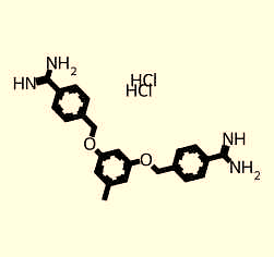 Cc1cc(OCc2ccc(C(=N)N)cc2)cc(OCc2ccc(C(=N)N)cc2)c1.Cl.Cl